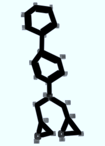 c1ccc(-c2ccc(N(CC3CO3)CC3CO3)cc2)cc1